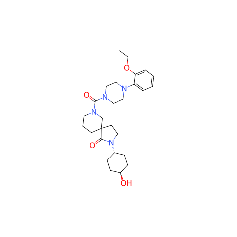 CCOc1ccccc1N1CCN(C(=O)N2CCCC3(CCN([C@H]4CC[C@H](O)CC4)C3=O)C2)CC1